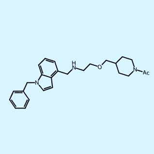 CC(=O)N1CCC(COCCNCc2cccc3c2ccn3Cc2ccccc2)CC1